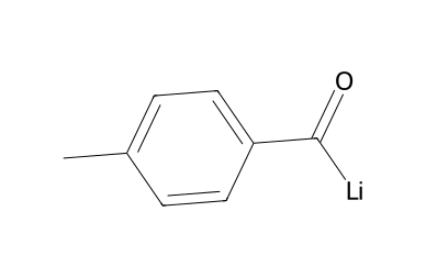 [Li][C](=O)c1ccc(C)cc1